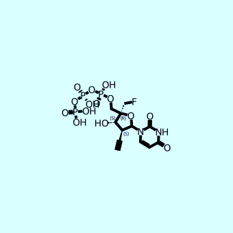 C#C[C@@H]1C(n2ccc(=O)[nH]c2=O)O[C@](CF)(COP(=O)(O)OP(=O)(O)OP(=O)(O)O)[C@H]1O